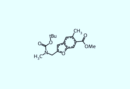 COC(=O)c1cc2oc(CN(C)C(=O)OC(C)(C)C)cc2cc1C